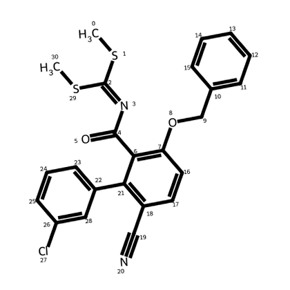 CSC(=NC(=O)c1c(OCc2ccccc2)ccc(C#N)c1-c1cccc(Cl)c1)SC